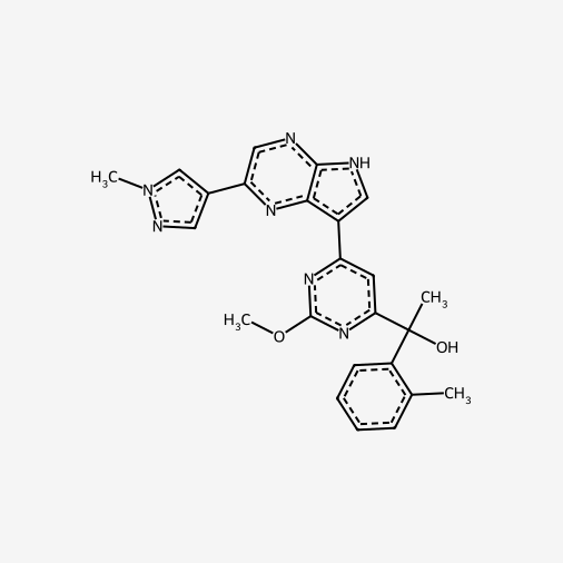 COc1nc(-c2c[nH]c3ncc(-c4cnn(C)c4)nc23)cc(C(C)(O)c2ccccc2C)n1